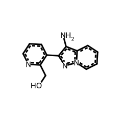 Nc1c(-c2cccnc2CO)nn2ccccc12